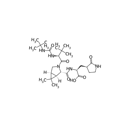 CC(C)(C)NC(=O)N[C@H](C(=O)N1C[C@H]2[C@@H]([C@H]1C(=O)N[C@@H](C[C@@H]1CCNC1=O)C(=O)O)C2(C)C)C(C)(C)C